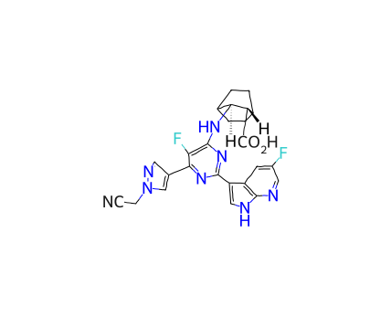 N#CCn1cc(-c2nc(-c3c[nH]c4ncc(F)cc34)nc(N[C@H]3C4CCC(CC4)[C@@H]3C(=O)O)c2F)cn1